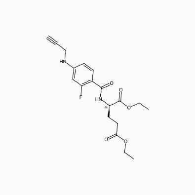 C#CCNc1ccc(C(=O)N[C@H](CCC(=O)OCC)C(=O)OCC)c(F)c1